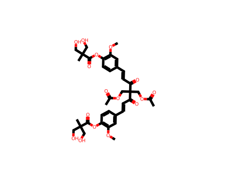 COc1cc(/C=C/C(=O)C(COC(C)=O)(COC(C)=O)C(=O)/C=C/c2ccc(OC(=O)C(C)(CO)CO)c(OC)c2)ccc1OC(=O)C(C)(CO)CO